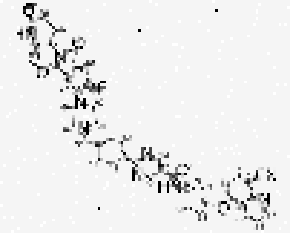 N#Cc1ccc(O[C@H]2CC[C@H](NC(=O)c3cnc(N4CCC(CN5CCN(c6cc7c(cc6F)C(=O)N(C6CCC(=O)NC6=O)C7=O)CC5)CC4)nc3)CC2)c2cccnc12